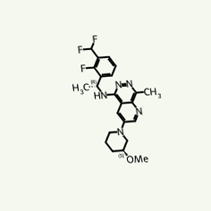 CO[C@H]1CCCN(c2cnc3c(C)nnc(N[C@H](C)c4cccc(C(F)F)c4F)c3c2)C1